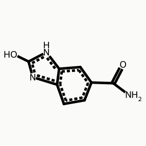 NC(=O)c1ccc2nc(O)[nH]c2c1